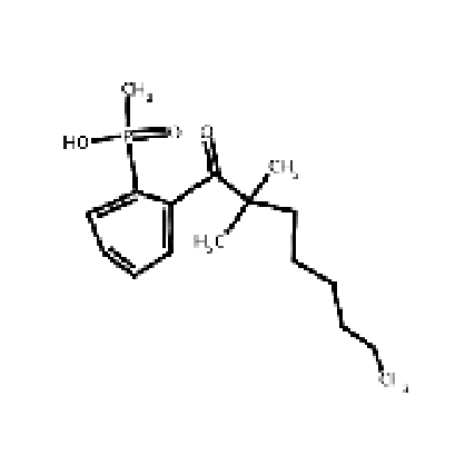 CCCCCCC(C)(C)C(=O)c1ccccc1P(C)(=O)O